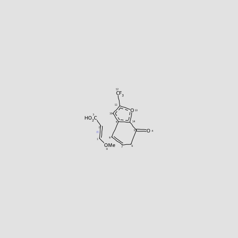 CO/C=C/C(=O)O.O=C1CC=Cc2cc(C(F)(F)F)oc21